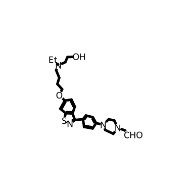 CCN(CCO)CCCCOc1ccc2c(-c3ccc(N4CCN(CC=O)CC4)cc3)nsc2c1